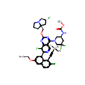 COCOc1cc(-c2ncc3c(N4CC(NC(=O)OC(C)(C)C)CC(F)(F)C4)nc(OC[C@@]45CCCN4C[C@H](F)C5)nc3c2F)c2c(C#C[Si](C(C)C)(C(C)C)C(C)C)c(F)ccc2c1